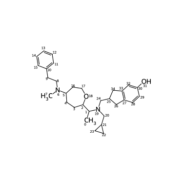 CC(C1CCC(N(C)CCc2ccccc2)CCO1)N(CC1CC1)CC1Cc2ccc(O)cc2C1